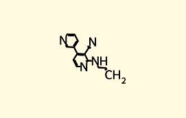 C=CCNc1nccc(-c2cccnc2)c1C#N